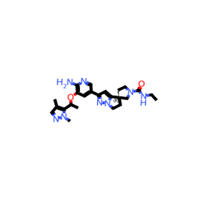 CCNC(=O)N1CC[C@@]2(CCn3nc(-c4cnc(N)c(OC(C)c5c(C)cnn5C)c4)cc32)C1